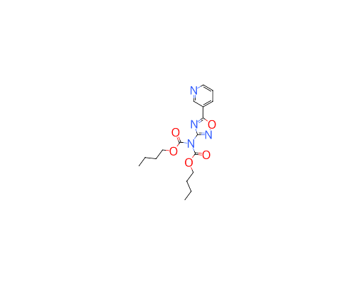 CCCCOC(=O)N(C(=O)OCCCC)c1noc(-c2cccnc2)n1